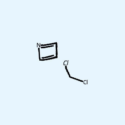 C1=CN=C1.ClCCl